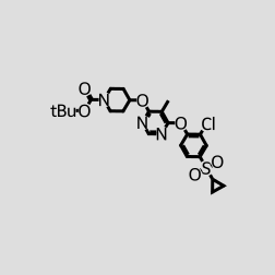 Cc1c(Oc2ccc(S(=O)(=O)C3CC3)cc2Cl)ncnc1OC1CCN(C(=O)OC(C)(C)C)CC1